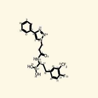 O=C(CCn1cc(-c2ccccc2)nn1)N[C@@H](CCc1ccc(F)c(C(F)(F)F)c1)B(O)O